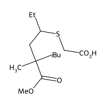 CCC(CC(C)(C(=O)OC)C(C)CC)SCC(=O)O